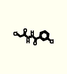 O=C(CCl)NNC(=O)c1cccc(Cl)c1